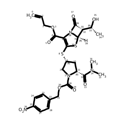 C=CCOC(=O)C1=C(S[C@@H]2C[C@H](C(=O)N(C)C)N(C(=O)OCc3ccc([N+](=O)[O-])cc3)C2)S[C@@H]2[C@@H]([C@@H](C)O)C(=O)N12